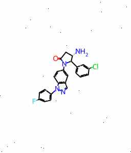 N[C@H]1CC(=O)N(c2ccc3c(cnn3-c3ccc(F)cc3)c2)C1c1cccc(Cl)c1